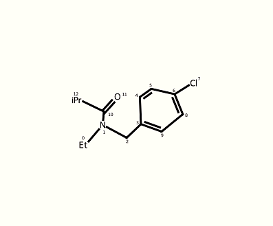 [CH2]CN(Cc1ccc(Cl)cc1)C(=O)C(C)C